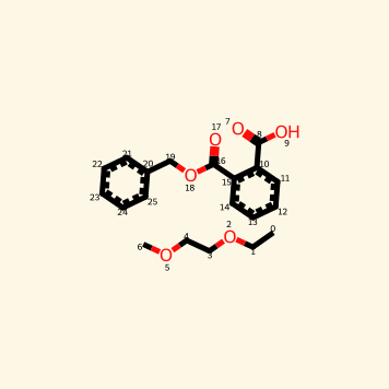 CCOCCOC.O=C(O)c1ccccc1C(=O)OCc1ccccc1